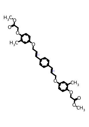 COC(=O)COc1ccc(OC/C=C/c2ccc(/C=C/COc3ccc(OCC(=O)OC)c(C)c3)cc2)cc1C